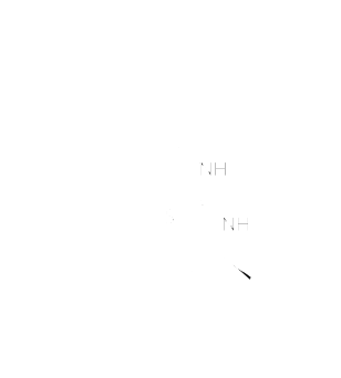 Cc1cc(C)cc(NC(=S)N[C@@H](C)c2ccccc2)c1